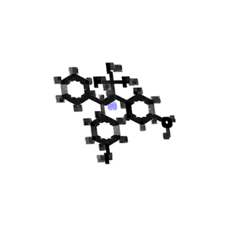 COc1ccc(/C(=C(/c2ccccc2)c2ccc(F)cc2)C(F)(F)F)cc1